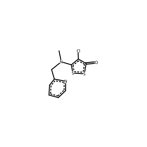 CN(Cc1ccccn1)c1ssc(=O)c1Cl